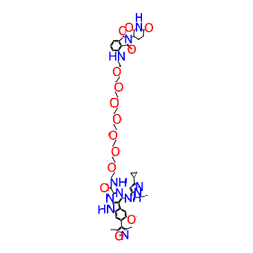 CCn1nc(C2CC2)cc1Nc1nc(C(=O)NCCOCCOCCOCCOCCOCCOCCOCCNc2cccc3c2C(=O)N(C2CCC(=O)NC2=O)C3=O)nc2[nH]c3cc(-c4c(C)noc4C)c(OC)cc3c12